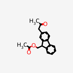 CC(=O)Cc1ccc2c(c1)C(COC(C)=O)c1ccccc1-2